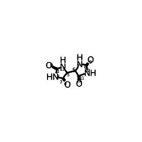 O=C1NC(=O)C(C2NC(=O)NC2=O)N1